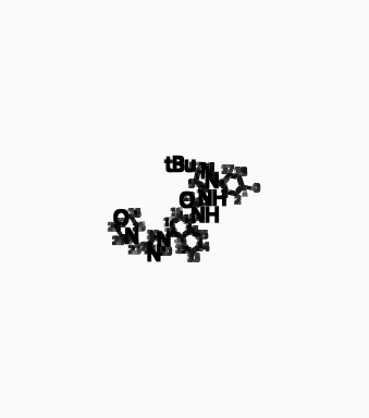 Cc1ccc(-n2nc(C(C)(C)C)cc2NC(=O)Nc2ccc(-n3cnc(CN4CCOCC4)c3)c3ccccc23)cc1